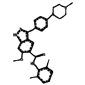 COc1cc2[nH]nc(-c3ccc(N4CCN(C)CC4)cc3)c2cc1C(=O)Nc1c(C)cccc1C